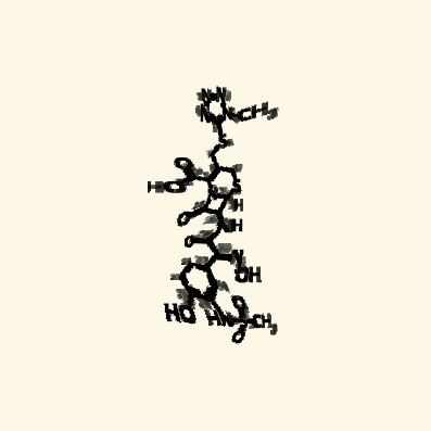 Cn1nnnc1SCC1=C(C(=O)O)N2C(=O)C(NC(=O)C(=NO)c3ccc(O)c(NS(C)(=O)=O)c3)[C@@H]2SC1